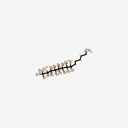 CCCCC[CH]C(Br)(Br)C(Br)(Br)C(Br)(Br)C(Br)(Br)C(Br)(Br)C(Br)(Br)C(Br)(Br)C(Br)(Br)Br